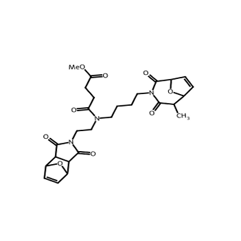 COC(=O)CCC(=O)N(CCCCN1C(=O)C2C=CC(O2)C(C)C1=O)CCN1C(=O)C2C3C=CC(O3)C2C1=O